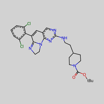 CC(C)(C)OC(=O)N1CCC(CCNc2ncc3c(n2)N2CCN=C2C(c2c(Cl)cccc2Cl)=C3)CC1